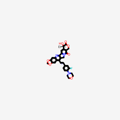 CC[C@@]1(O)C(=O)OCc2c1cc1n(c2=O)Cc2c-1nc1cc3c(cc1c2/C=C/c1ccc(N2CCOCC2)c(F)c1)OCO3